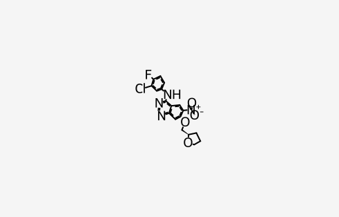 O=[N+]([O-])c1cc2c(Nc3ccc(F)c(Cl)c3)ncnc2cc1OC[C@H]1CCCO1